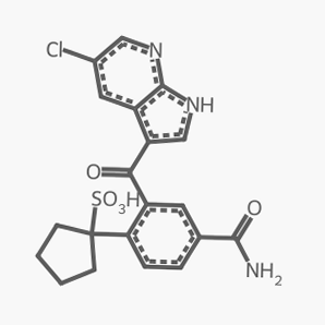 NC(=O)c1ccc(C2(S(=O)(=O)O)CCCC2)c(C(=O)c2c[nH]c3ncc(Cl)cc23)c1